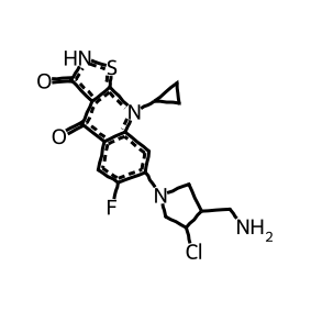 NCC1CN(c2cc3c(cc2F)c(=O)c2c(=O)[nH]sc2n3C2CC2)CC1Cl